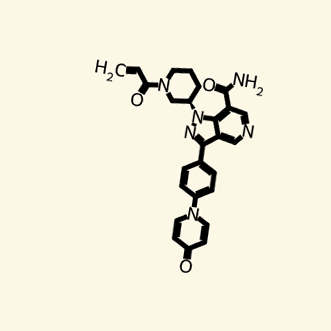 C=CC(=O)N1CCC[C@@H](n2nc(-c3ccc(-n4ccc(=O)cc4)cc3)c3cncc(C(N)=O)c32)C1